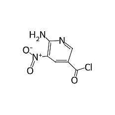 Nc1ncc(C(=O)Cl)cc1[N+](=O)[O-]